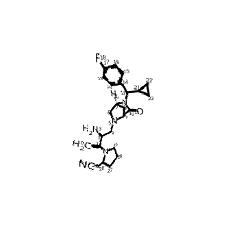 C=C(C(N)CN1C[C@@H]2CC1C(=O)N2C(c1ccc(F)cc1)C1CC1)N1CCCC1C#N